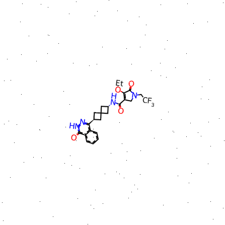 CCOC1=C(C(=O)N[C@H]2CC3(C2)C[C@H](c2n[nH]c(=O)c4ccccc42)C3)CN(CC(F)(F)F)C1=O